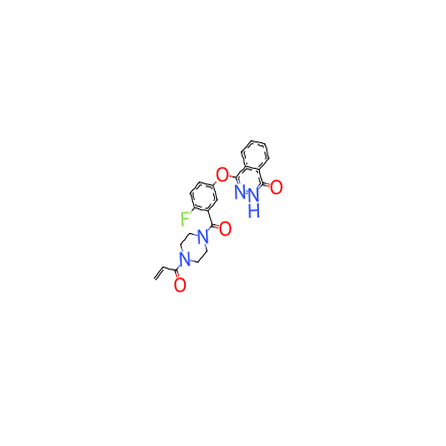 C=CC(=O)N1CCN(C(=O)c2cc(Oc3n[nH]c(=O)c4ccccc34)ccc2F)CC1